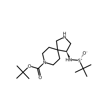 CC(C)(C)OC(=O)N1CCC2(CC1)CNC[C@H]2N[S@+]([O-])C(C)(C)C